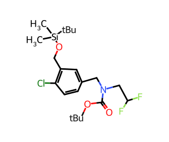 CC(C)(C)OC(=O)N(Cc1ccc(Cl)c(CO[Si](C)(C)C(C)(C)C)c1)CC(F)F